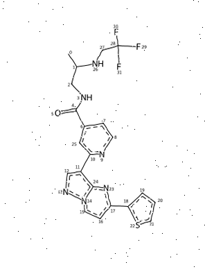 CC(CNC(=O)c1ccnc(-c2cnn3ccc(-c4cccs4)nc23)c1)NCC(F)(F)F